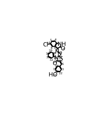 O=C1Nc2ccc(Cl)cc2C1=NN=C1SC(=Cc2ccc(O)cc2)C(=O)N1c1ccccc1